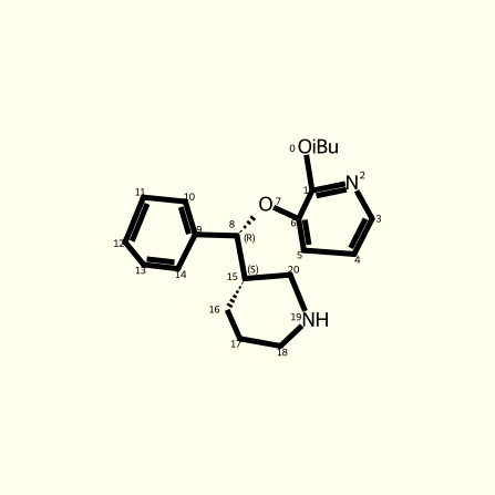 CC(C)COc1ncccc1O[C@@H](c1ccccc1)[C@H]1CCCNC1